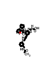 C=CC(=O)NCc1cccc(NCC#Cc2cc(O[Si](c3ccccc3)(c3ccccc3)C(C)(C)C)c3nc(NC(=O)O)sc3c2)c1